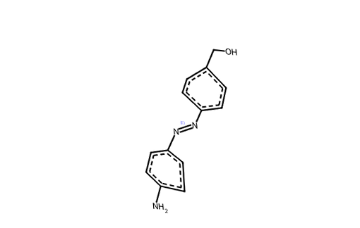 Nc1ccc(/N=N/c2ccc(CO)cc2)cc1